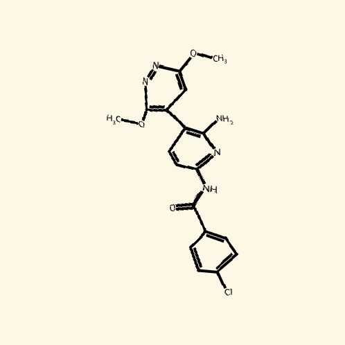 COc1cc(-c2ccc(NC(=O)c3ccc(Cl)cc3)nc2N)c(OC)nn1